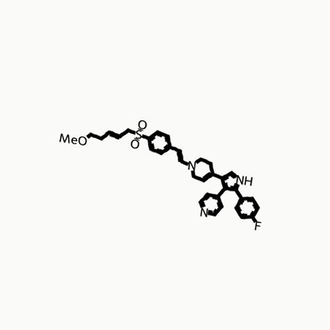 COCCC=CCS(=O)(=O)c1ccc(C=CN2CC=C(c3c[nH]c(-c4ccc(F)cc4)c3-c3ccncc3)CC2)cc1